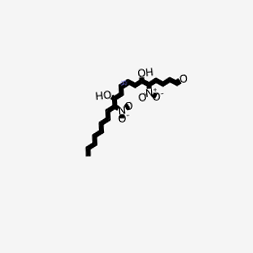 CCCCCCCCC(C(O)C/C=C\CC(O)C(CCCC=O)[N+](=O)[O-])[N+](=O)[O-]